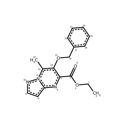 CCOC(=O)c1nc2ccnn2c(C)c1OCc1ccccc1